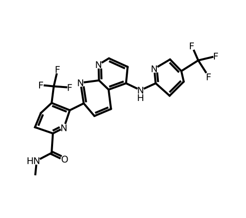 CNC(=O)c1ccc(C(F)(F)F)c(-c2ccc3c(Nc4ccc(C(F)(F)F)cn4)ccnc3n2)n1